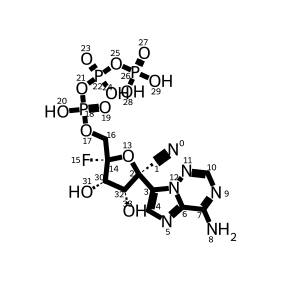 N#C[C@@]1(c2cnc3c(N)ncnn23)O[C@](F)(COP(=O)(O)OP(=O)(O)OP(=O)(O)O)[C@@H](O)[C@H]1O